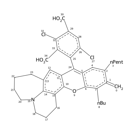 C=c1c(CCCCC)cc2c(c1CCCC)Oc1c(cc3c4c1CCCN4CCCC3)C=2c1c(Cl)cc(C(=O)O)c(Cl)c1C(=O)O